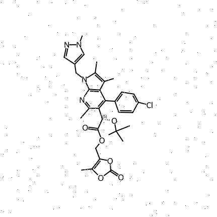 Cc1nc2c(c(C)c(C)n2Cc2cnn(C)c2)c(-c2ccc(Cl)cc2)c1[C@H](OC(C)(C)C)C(=O)OCc1oc(=O)oc1C